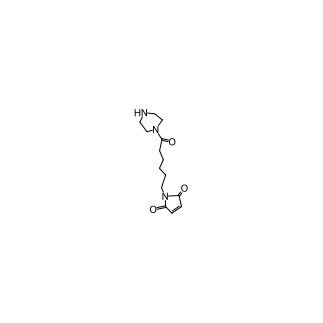 O=C(CCCCCN1C(=O)C=CC1=O)N1CCNCC1